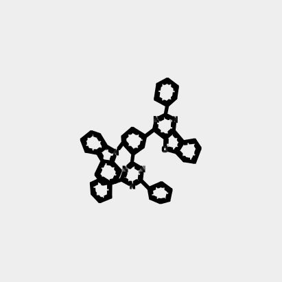 c1ccc(-c2nc(-c3ccccc3)nc(-c3cc(-c4nc(-c5ccccc5)nc5c4oc4ccccc45)ccc3-n3c4ccccc4c4ccccc43)n2)cc1